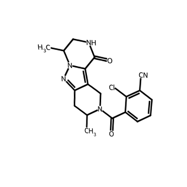 CC1Cc2nn3c(c2CN1C(=O)c1cccc(C#N)c1Cl)C(=O)NCC3C